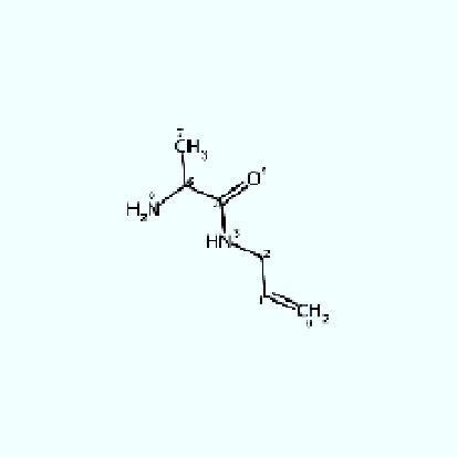 C=CCNC(=O)C(C)N